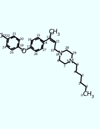 CCCCCCN1CCN(CC=C(C)c2ccc(Oc3ccc(Cl)cc3)cc2)CC1